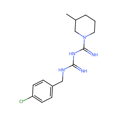 CC1CCCN(C(=N)NC(=N)NCc2ccc(Cl)cc2)C1